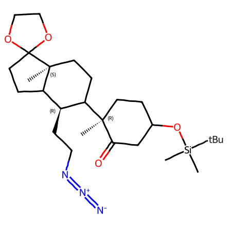 CC(C)(C)[Si](C)(C)OC1CC[C@](C)(C2CC[C@@]3(C)C(CCC34OCCO4)[C@@H]2CCN=[N+]=[N-])C(=O)C1